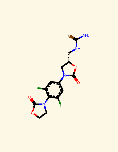 NC(=S)NC[C@H]1CN(c2cc(F)c(N3CCOC3=O)c(F)c2)C(=O)O1